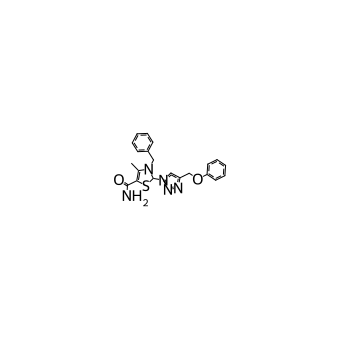 CC1=C(C(N)=O)SC(n2cc(COc3ccccc3)nn2)N1Cc1ccccc1